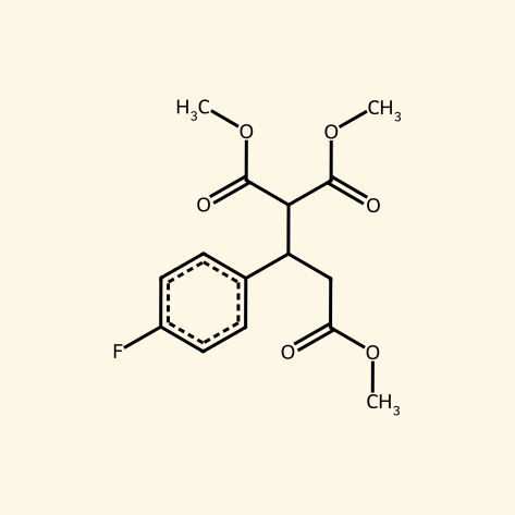 COC(=O)CC(c1ccc(F)cc1)C(C(=O)OC)C(=O)OC